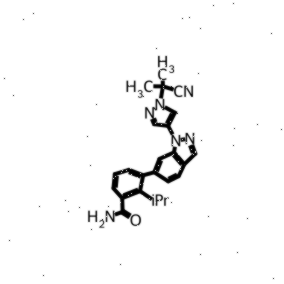 CC(C)c1c(C(N)=O)cccc1-c1ccc2cnn(-c3cnn(C(C)(C)C#N)c3)c2c1